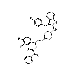 CN(CC(CCN1CCC(Nc2nc3ccccc3n2Cc2ccc(F)cc2)CC1)c1ccc(F)c(F)c1)C(=O)c1ccccc1